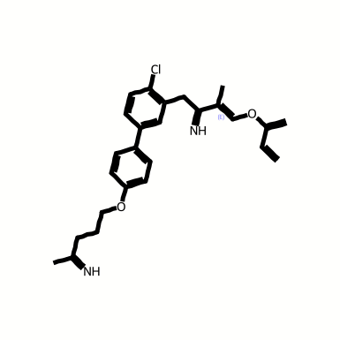 C=CC(=C)O/C=C(\C)C(=N)Cc1cc(-c2ccc(OCCCC(C)=N)cc2)ccc1Cl